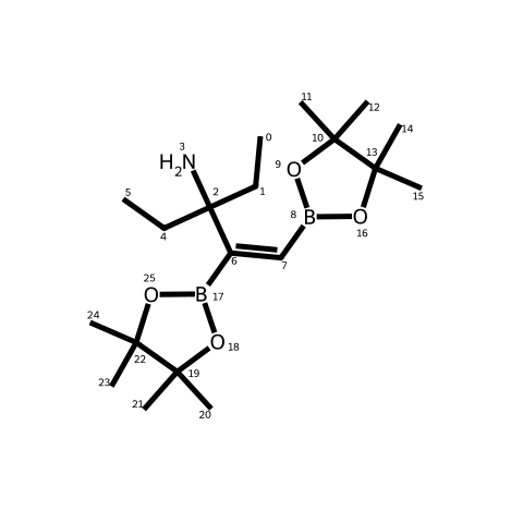 CCC(N)(CC)C(=CB1OC(C)(C)C(C)(C)O1)B1OC(C)(C)C(C)(C)O1